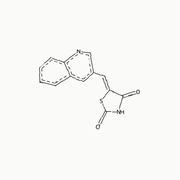 O=C1NC(=O)C(=Cc2cnc3ccccc3c2)S1